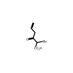 C=CCC(=O)C(C(=O)O)C(C)(C)C